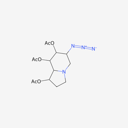 CC(=O)OC1CCN2CC(N=[N+]=[N-])C(OC(C)=O)C(OC(C)=O)C12